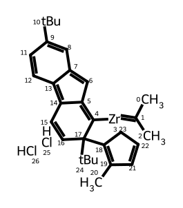 C[C](C)=[Zr][C]1=C2C=c3cc(C(C)(C)C)ccc3=C2C=CC1(C1=C(C)C=CC1)C(C)(C)C.Cl.Cl